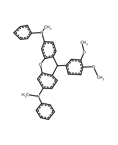 COc1ccc(C2c3ccc(N(C)c4ccccc4)cc3Oc3cc(N(C)c4ccccc4)ccc32)cc1OC